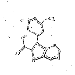 CCCC(=O)c1nc2cccnn2c1-c1cc(Cl)cc(Cl)c1